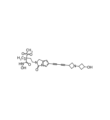 C[C@@](CCN1Cc2cc(C#CC#CC3CN(C4CC(O)C4)C3)cn2C1=O)(C(=O)NO)S(C)(=O)=O